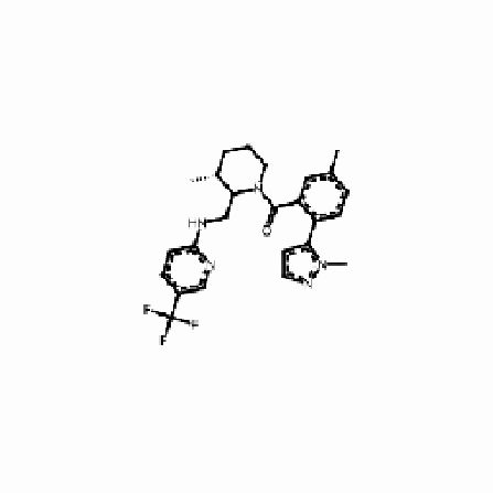 Cc1ccc(-c2ccnn2C)c(C(=O)N2CCC[C@@H](C)C2CNc2ccc(C(F)(F)F)cn2)c1